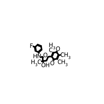 CC1=C(C)C(=O)C(CCC(C)(O)C(=O)Nc2cccc(F)c2)=C(C)C1=O